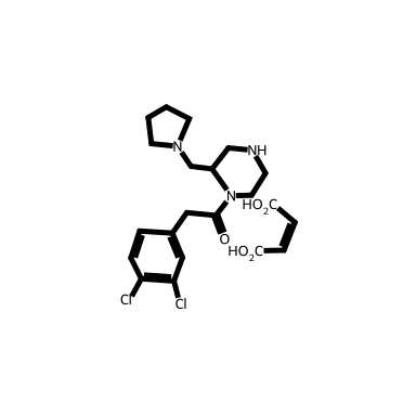 O=C(Cc1ccc(Cl)c(Cl)c1)N1CCNCC1CN1CCCC1.O=C(O)/C=C\C(=O)O